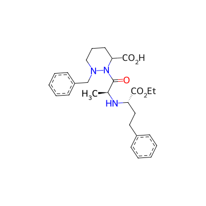 CCOC(=O)[C@H](CCc1ccccc1)N[C@@H](C)C(=O)N1C(C(=O)O)CCCN1Cc1ccccc1